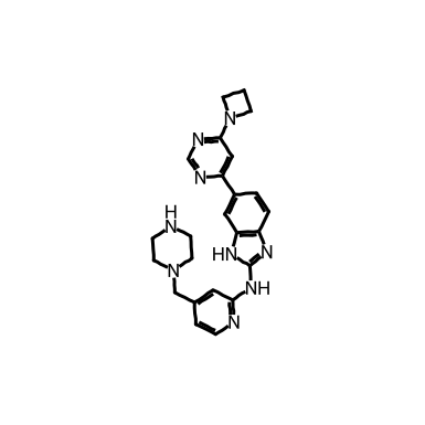 c1cc(CN2CCNCC2)cc(Nc2nc3ccc(-c4cc(N5CCC5)ncn4)cc3[nH]2)n1